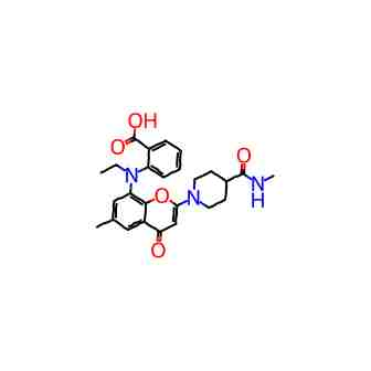 CCN(c1ccccc1C(=O)O)c1cc(C)cc2c(=O)cc(N3CCC(C(=O)NC)CC3)oc12